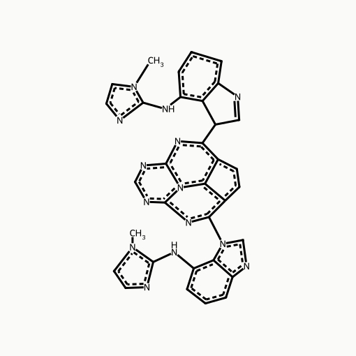 Cn1ccnc1Nc1cccc2c1C(c1nc3ncnc4nc(-n5cnc6cccc(Nc7nccn7C)c65)c5ccc1c5n34)C=N2